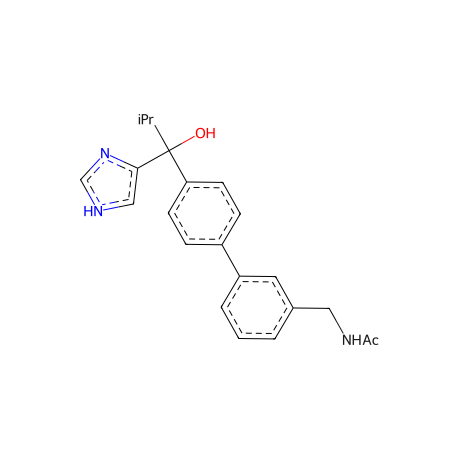 CC(=O)NCc1cccc(-c2ccc(C(O)(c3c[nH]cn3)C(C)C)cc2)c1